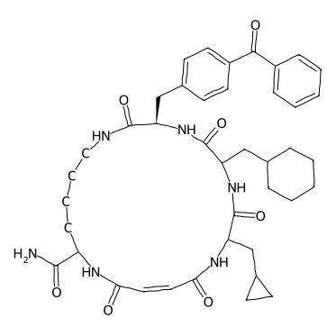 NC(=O)C1CCCCNC(=O)[C@@H](Cc2ccc(C(=O)c3ccccc3)cc2)NC(=O)C(CC2CCCCC2)NC(=O)C(CC2CC2)NC(=O)C=CC(=O)N1